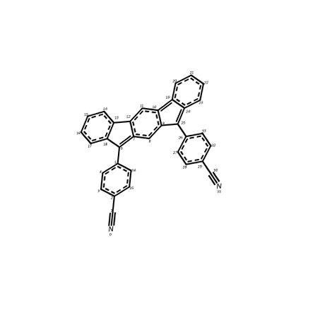 N#Cc1ccc(C2=c3cc4c(cc3-c3ccccc32)=c2ccccc2=C4c2ccc(C#N)cc2)cc1